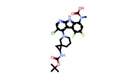 CN(C(=O)O)c1cc(F)c(F)c2c1[nH]c1ncc(Cl)c(N3CCCC4(CC4NC(=O)OC(C)(C)C)C3)c12